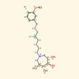 CCOc1cc(COC[C@H](F)CCCCN2C[C@H](O)[C@@H](O)[C@H](O)[C@@H](O)C2)ccc1F